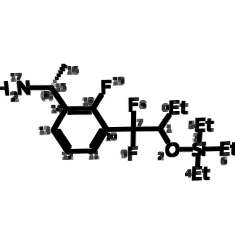 CCC(O[Si](CC)(CC)CC)C(F)(F)c1cccc([C@@H](C)N)c1F